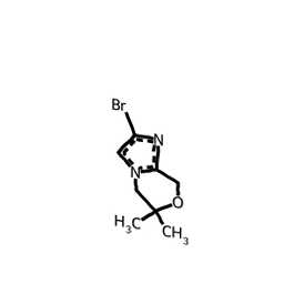 CC1(C)Cn2cc(Br)nc2CO1